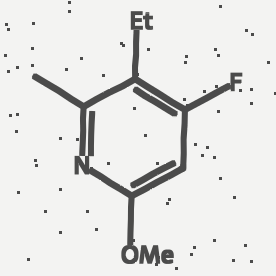 CCc1c(F)cc(OC)nc1C